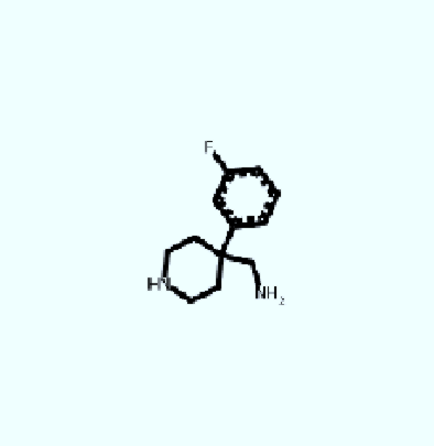 NCC1(c2cccc(F)c2)CCNCC1